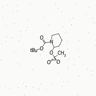 CC(C)(C)OC(=O)N1CCCCC1OS(C)(=O)=O